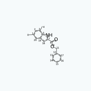 Cc1cc(C)c2[nH]c(C(=O)OCc3ccccc3)cc2c1